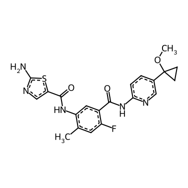 COC1(c2ccc(NC(=O)c3cc(NC(=O)c4cnc(N)s4)c(C)cc3F)nc2)CC1